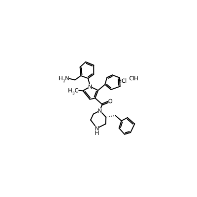 Cc1cc(C(=O)N2CCNC[C@H]2Cc2ccccc2)c(-c2ccccc2)n1-c1ccccc1CN.Cl.Cl